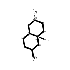 CCCC1CCC2C[C@H](C#N)CC[C@@H]2C1